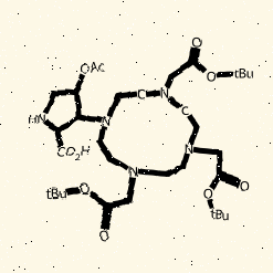 CC(=O)OC1CNC(C(=O)O)C1N1CCN(CC(=O)OC(C)(C)C)CCN(CC(=O)OC(C)(C)C)CCN(CC(=O)OC(C)(C)C)CC1